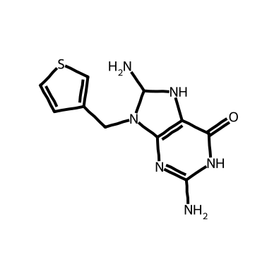 Nc1nc2c(c(=O)[nH]1)NC(N)N2Cc1ccsc1